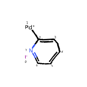 [I-].[Pd+][c]1ccccn1